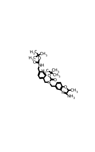 CC1Oc2ccc(CN(Cc3ccc(CNC(=O)OC(C)(C)C)cc3)C(=O)OC(C)(C)C)cc2N=C1N